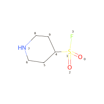 O=S(=O)(F)C1CCNCC1